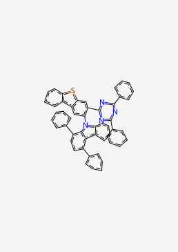 c1ccc(-c2nc(-c3ccccc3)nc(-c3cc4sc5ccccc5c4cc3-n3c4ccccc4c4c(-c5ccccc5)ccc(-c5ccccc5)c43)n2)cc1